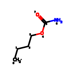 [CH2]CCCOC(N)=O